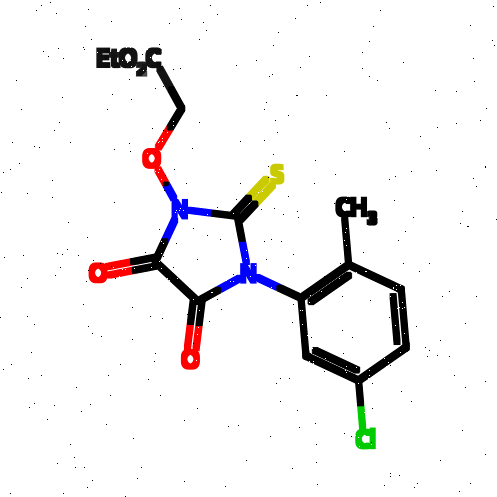 CCOC(=O)CON1C(=O)C(=O)N(c2cc(Cl)ccc2C)C1=S